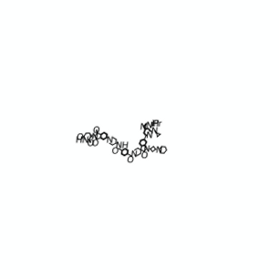 CC(C)n1cnc2cc(-c3ccc4c(c3)N(C3CC(N5CCCCC5)C3)C(=O)C43CCN(C(=O)c4ccc(C(=O)NC5CCN(c6ccc7c(c6)C(=O)N([C@@H]6CCC(=O)NC6=O)C7=O)CC5)cc4)CC3)nc(NC3CC3)c21